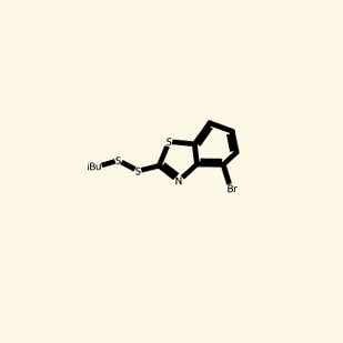 CCC(C)SSc1nc2c(Br)cccc2s1